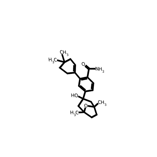 CC1(C)CC=C(c2cc(C3(O)CC4(C)CCC(C)(C3)O4)ccc2C(N)=O)CC1